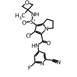 CC1(N[S+]([O-])c2c(Cl)c(C(=O)Nc3cc(F)nc(C#N)c3)n3c2CCC3)COC1